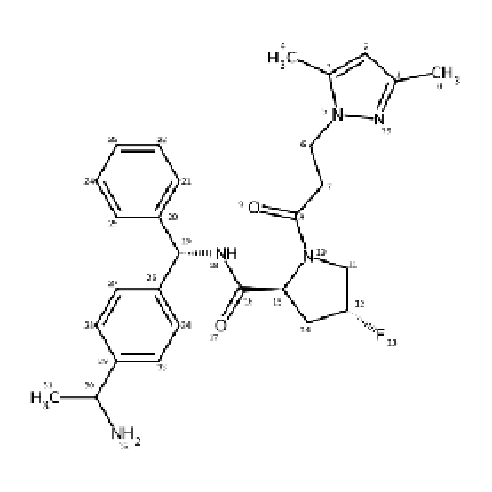 Cc1cc(C)n(CCC(=O)N2C[C@H](F)C[C@H]2C(=O)N[C@@H](c2ccccc2)c2ccc(C(C)N)cc2)n1